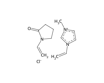 C=CN1CCCC1=O.C=Cn1cc[n+](C)c1.[Cl-]